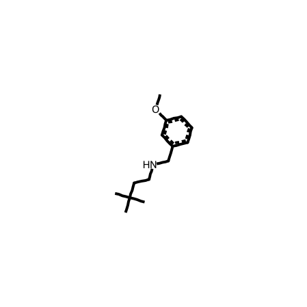 COc1cccc(CNCCC(C)(C)C)c1